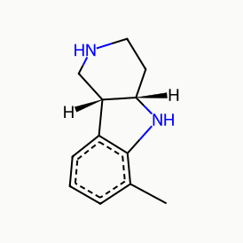 Cc1cccc2c1N[C@H]1CCNC[C@@H]21